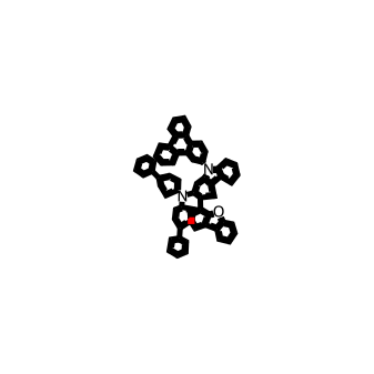 c1ccc(-c2ccc(N(c3ccc(-c4ccccc4)cc3)c3cc4c(cc3-c3cccc5c3oc3ccccc35)c3ccccc3n4-c3ccc4c5ccccc5c5ccccc5c4c3)cc2)cc1